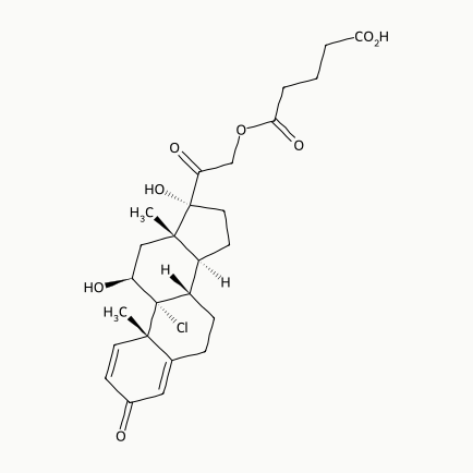 C[C@]12C=CC(=O)C=C1CC[C@H]1[C@@H]3CC[C@](O)(C(=O)COC(=O)CCCC(=O)O)[C@@]3(C)C[C@H](O)[C@@]12Cl